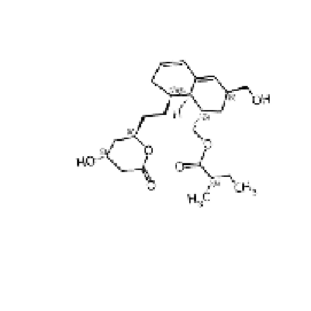 CC[C@H](C)C(=O)OC[C@H]1C[C@H](CO)C=C2C=CC[C@H](CC[C@@H]3C[C@@H](O)CC(=O)O3)[C@@H]21